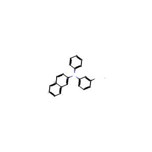 COc1cccc(N(c2ccccc2)c2ccc3ccccc3c2)c1